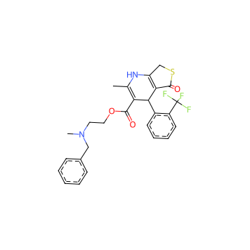 CC1=C(C(=O)OCCN(C)Cc2ccccc2)C(c2ccccc2C(F)(F)F)C2=C(CSC2=O)N1